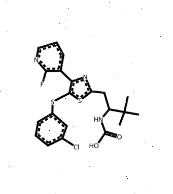 CC(C)(C)C(Cc1nc(-c2cccnc2F)c(Sc2cccc(Cl)c2)s1)NC(=O)O